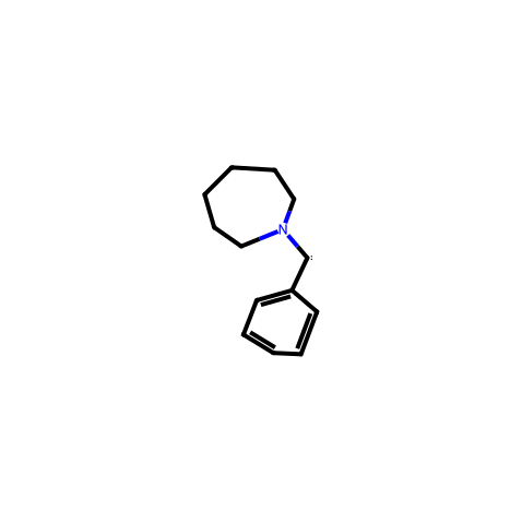 [C](c1ccccc1)N1CCCCCC1